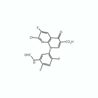 O=CNc1cc(-n2cc(C(=O)O)c(=O)c3cc(F)c(Cl)nc32)c(F)cc1F